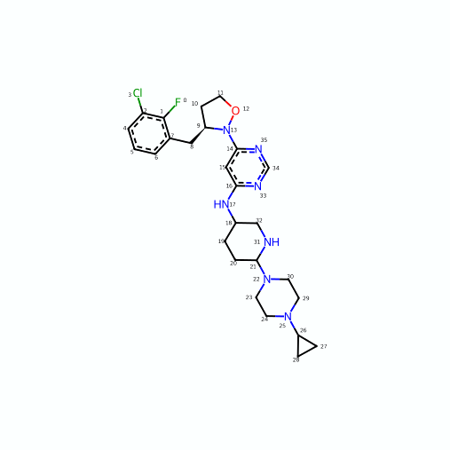 Fc1c(Cl)cccc1C[C@H]1CCON1c1cc(NC2CCC(N3CCN(C4CC4)CC3)NC2)ncn1